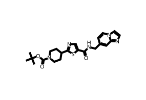 CC(C)(C)OC(=O)N1CCC(c2ncc(C(=O)NCc3ccn4ccnc4c3)s2)CC1